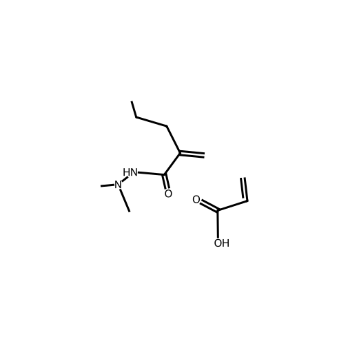 C=C(CCC)C(=O)NN(C)C.C=CC(=O)O